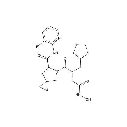 O=C(C[C@@H](CC1CCCC1)C(=O)N1CC2(CC2)C[C@H]1C(=O)Nc1ncccc1F)NO